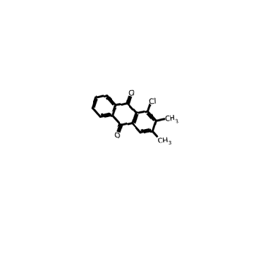 Cc1cc2c(c(Cl)c1C)C(=O)c1ccccc1C2=O